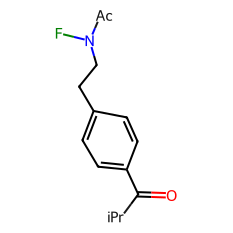 CC(=O)N(F)CCc1ccc(C(=O)C(C)C)cc1